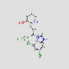 Cl.Cl.OC1CCCNC1CCCn1cnc2cc(Br)cc(Cl)c21